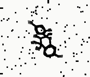 CCCC1(CCC)c2ccc(O)cc2OC(CCC)(c2ccc(O)cc2O)C1CC